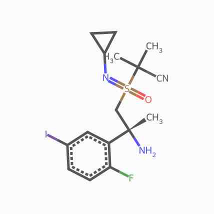 CC(C)(C#N)S(=O)(C[C@](C)(N)c1cc(I)ccc1F)=NC1CC1